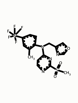 Cc1cc(S(F)(F)(F)(F)F)ccc1N(Cc1cocn1)c1ccnc(S(C)(=O)=O)n1